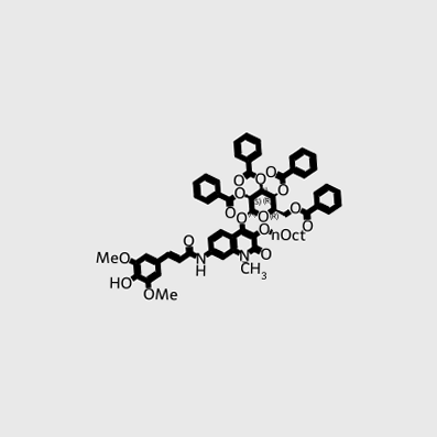 CCCCCCCCOc1c(O[C@H]2O[C@H](COC(=O)c3ccccc3)[C@@H](OC(=O)c3ccccc3)[C@H](OC(=O)c3ccccc3)[C@@H]2OC(=O)c2ccccc2)c2ccc(NC(=O)C=Cc3cc(OC)c(O)c(OC)c3)cc2n(C)c1=O